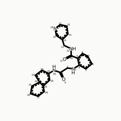 O=C(CNc1ccccc1C(=O)NCc1cccnc1)Nc1ccc2ccccc2c1